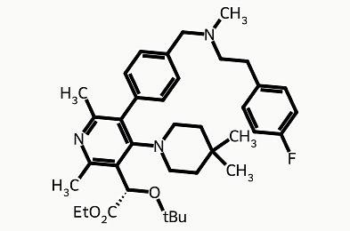 CCOC(=O)[C@@H](OC(C)(C)C)c1c(C)nc(C)c(-c2ccc(CN(C)CCc3ccc(F)cc3)cc2)c1N1CCC(C)(C)CC1